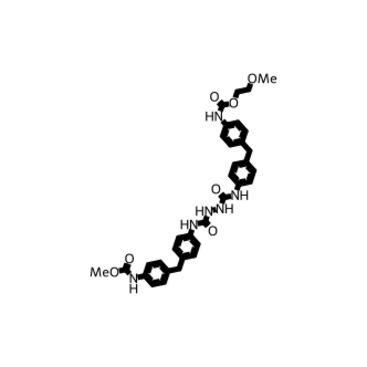 COCCOC(=O)Nc1ccc(Cc2ccc(NC(=O)NNC(=O)Nc3ccc(Cc4ccc(NC(=O)OC)cc4)cc3)cc2)cc1